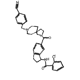 N#Cc1ccc(CN2CCC3(CC2)CCN(C(=O)c2ccc4c(c2)C(NC(=O)c2ccccc2Cl)CC4)C3)cc1